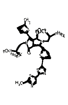 CCCCCCCCC(CCCCCC)CN1C(=O)C2=C(c3ccc(-c4cnc(-c5cnc(C)s5)s4)s3)N(CC(CCCCCC)CCCCCCCC)C(=O)C2=C1c1ccc(C)s1